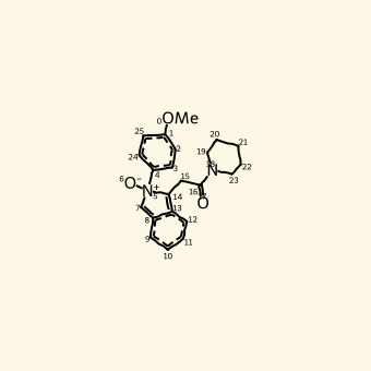 COc1ccc([N+]2([O-])C=c3ccccc3=C2CC(=O)N2CCCCC2)cc1